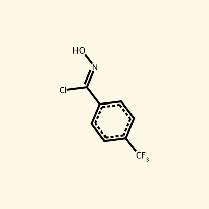 O/N=C(\Cl)c1ccc(C(F)(F)F)cc1